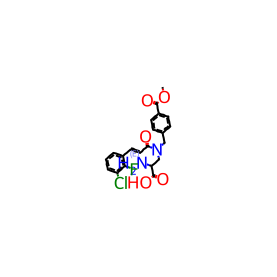 COC(=O)c1ccc(CN(CC(N)C(=O)O)C(=O)/C=C/c2cccc(Cl)c2F)cc1